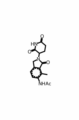 CC(=O)Nc1ccc2c(c1C)C(=O)N(C1CCC(=O)NC1=O)C2